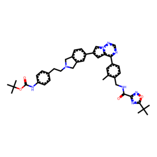 Cc1cc(-c2ncnn3cc(-c4ccc5c(c4)CN(CCc4ccc(NC(=O)OC(C)(C)C)cc4)C5)cc23)ccc1CNC(=O)c1noc(C(C)(C)C)n1